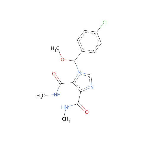 CNC(=O)c1ncn(C(OC)c2ccc(Cl)cc2)c1C(=O)NC